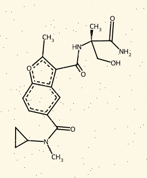 Cc1oc2ccc(C(=O)N(C)C3CC3)cc2c1C(=O)N[C@@](C)(CO)C(N)=O